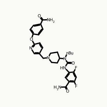 CCCCN(C(=O)Nc1cc(C(N)=O)c(F)cc1F)C1CCN(Cc2ccc(Oc3ccc(C(N)=O)cc3)nc2)CC1